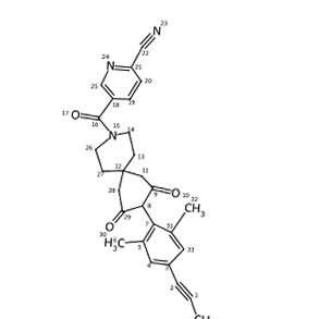 CC#Cc1cc(C)c(C2C(=O)CC3(CCN(C(=O)c4ccc(C#N)nc4)CC3)CC2=O)c(C)c1